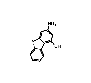 Nc1cc(O)c2c(c1)sc1ccccc12